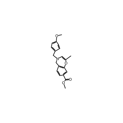 COC(=O)c1ccc2c(c1)OC(C)=CN(Cc1ccc(OC)cc1)C2